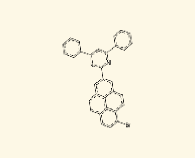 Brc1ccc2ccc3cc(-c4nc(-c5ccccc5)cc(-c5ccccc5)n4)cc4ccc1c2c34